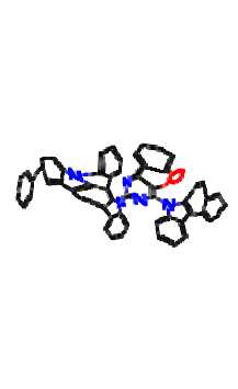 c1ccc(-c2ccc3c(c2)c2cc4c5ccccc5n(-c5nc(-n6c7ccccc7c7c8ccccc8ccc76)c6oc7ccccc7c6n5)c4c4c5ccccc5n3c24)cc1